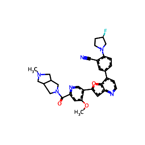 COc1cc(C(=O)N2CC3CN(C)CC3C2)ncc1-c1cc2nccc(-c3ccc(N4CC[C@@H](F)C4)c(C#N)c3)c2o1